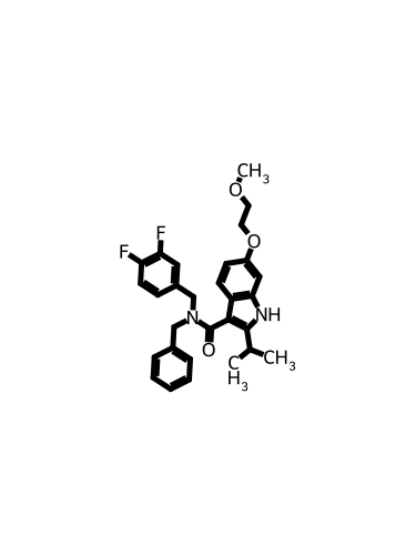 COCCOc1ccc2c(C(=O)N(Cc3ccccc3)Cc3ccc(F)c(F)c3)c(C(C)C)[nH]c2c1